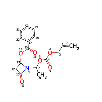 C=CCOC(=O)OC(C)N1C(=O)CC1OC(=O)c1ccccc1